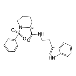 O=C(NCCc1c[nH]c2ccccc12)[C@@H]1CCCCN1S(=O)(=O)c1ccccc1